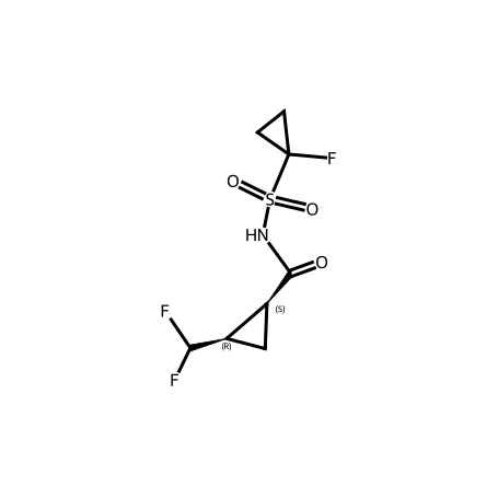 O=C(NS(=O)(=O)C1(F)CC1)[C@H]1C[C@H]1C(F)F